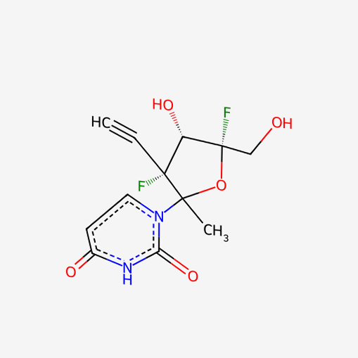 C#C[C@@]1(F)[C@H](O)[C@@](F)(CO)OC1(C)n1ccc(=O)[nH]c1=O